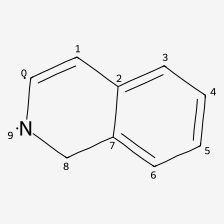 [C]1=Cc2ccccc2C[N]1